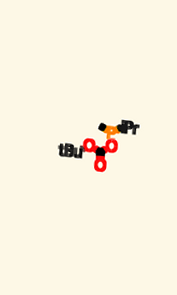 CC(C)P(C)OC(=O)OC(C)(C)C